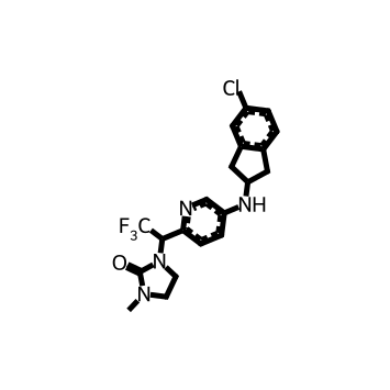 CN1CCN(C(c2ccc(NC3Cc4ccc(Cl)cc4C3)cn2)C(F)(F)F)C1=O